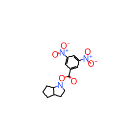 O=C(ON1CCC2CCCC21)c1cc([N+](=O)[O-])cc([N+](=O)[O-])c1